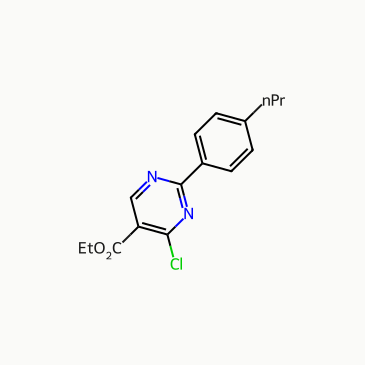 CCCc1ccc(-c2ncc(C(=O)OCC)c(Cl)n2)cc1